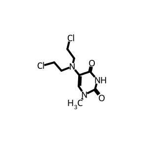 Cn1cc(N(CCCl)CCCl)c(=O)[nH]c1=O